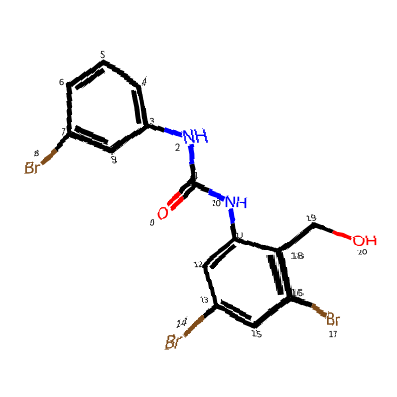 O=C(Nc1cccc(Br)c1)Nc1cc(Br)cc(Br)c1CO